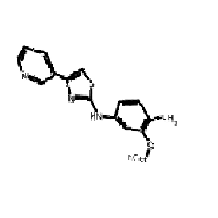 CCCCCCCCOc1cc(Nc2nc(-c3cccnc3)cs2)ccc1C